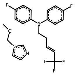 COCn1ccnc1.Fc1ccc(B(CCC=CC(F)(F)F)c2ccc(F)cc2)cc1